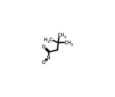 CC(C)(C)CC(=O)N=O